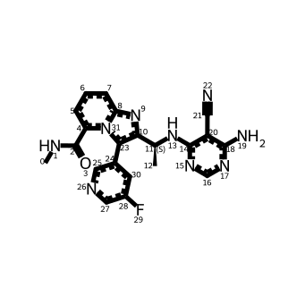 CNC(=O)c1cccc2nc([C@H](C)Nc3ncnc(N)c3C#N)c(-c3cncc(F)c3)n12